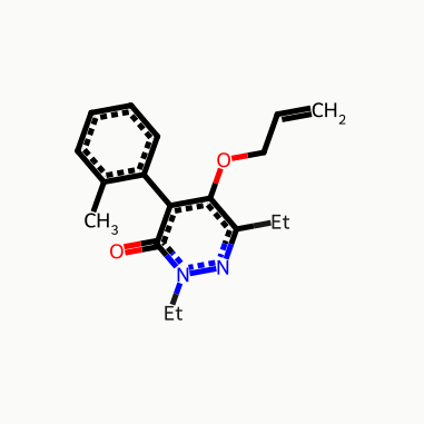 C=CCOc1c(CC)nn(CC)c(=O)c1-c1ccccc1C